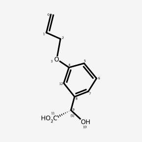 C=CCOc1cccc([C@H](O)C(=O)O)c1